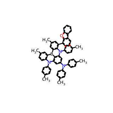 Cc1ccc(N(c2ccc(C)cc2)c2cc3c4c(c2)N(c2ccc(C)cc2)c2c(cc(C)cc2-c2cccc5c2oc2ccccc25)B4c2cc(C)ccc2N3c2ccc(C)cc2)cc1